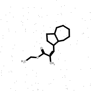 CCOC(=O)C(C)=CC1CCC2CCCCCC12